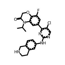 CC(C)N1C(=O)COc2c(F)cc(-c3nc(Nc4ccc5c(c4)CCNC5)ncc3Cl)cc21